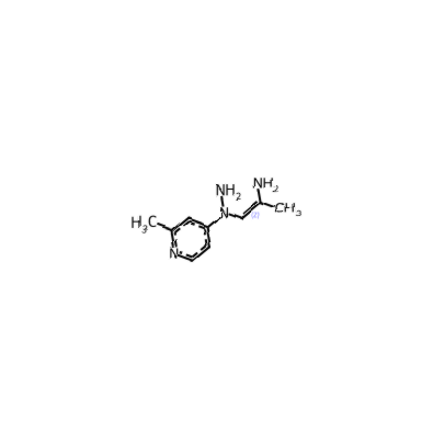 C/C(N)=C/N(N)c1ccnc(C)c1